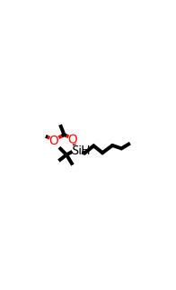 CCCCCC[SiH](OC(C)OC)C(C)(C)C